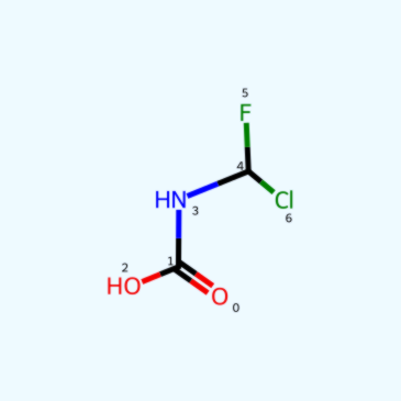 O=C(O)NC(F)Cl